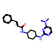 CN(C)c1ccnc(NC2CCC(NC(=O)/C=C/c3ccccc3)CC2)n1